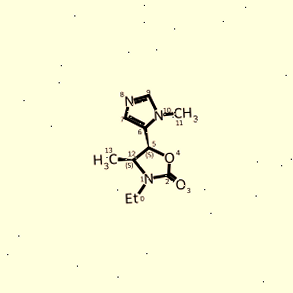 CCN1C(=O)O[C@H](c2cncn2C)[C@@H]1C